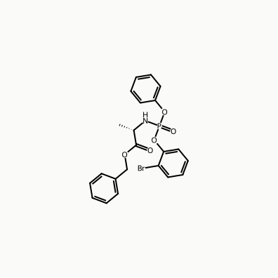 C[C@H](NP(=O)(Oc1ccccc1)Oc1ccccc1Br)C(=O)OCc1ccccc1